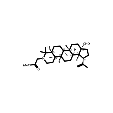 C=C(C)[C@@H]1CC[C@]2(C=O)CC[C@]3(C)[C@H](CC[C@@H]4[C@@]5(C)CCN(CC(=O)OC)C(C)(C)[C@@H]5CC[C@]43C)[C@@H]12